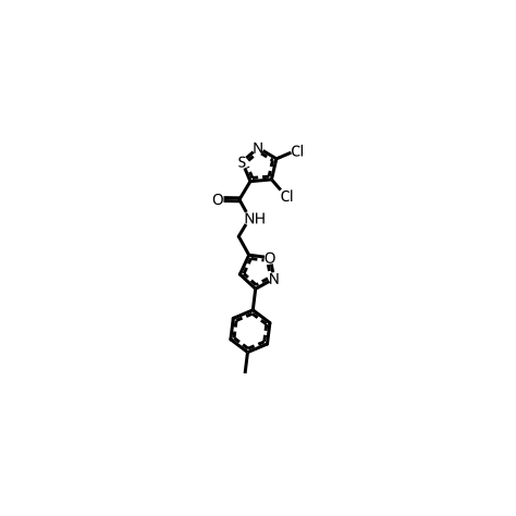 Cc1ccc(-c2cc(CNC(=O)c3snc(Cl)c3Cl)on2)cc1